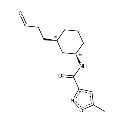 Cc1cc(C(=O)N[C@@H]2CCC[C@H](CCC=O)C2)no1